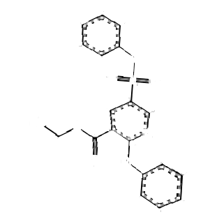 CCOC(=O)c1cc(S(=O)(=O)Nc2ccccc2)cnc1Nc1ccccc1